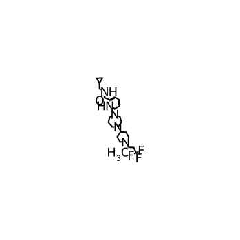 CC(CC(F)(F)F)N1CCC(N2CCCN(C3C=CC=C(C(=O)NCC4CC4)N3)CC2)CC1